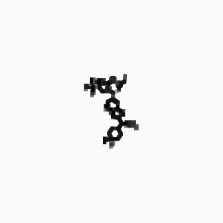 CCOC[C@H](c1cnn2cc([C@@H](N)C3CCC(F)(F)CC3)nc2c1)N1C[C@@H](C(F)(F)F)NC1=O